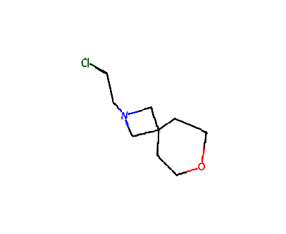 ClCCN1CC2(CCOCC2)C1